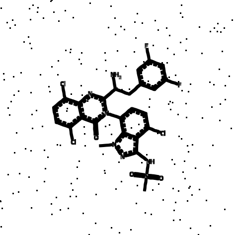 Cn1nc(NS(C)(=O)=O)c2c(Cl)ccc(-n3c(C(N)Cc4cc(F)cc(F)c4)nc4c(Cl)ccc(Cl)c4c3=O)c21